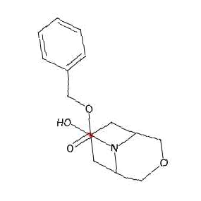 O=C(OCc1ccccc1)N1C2COCC1CC(O)C2